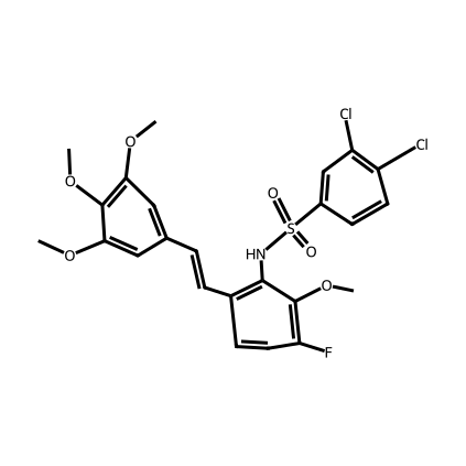 COc1cc(C=Cc2ccc(F)c(OC)c2NS(=O)(=O)c2ccc(Cl)c(Cl)c2)cc(OC)c1OC